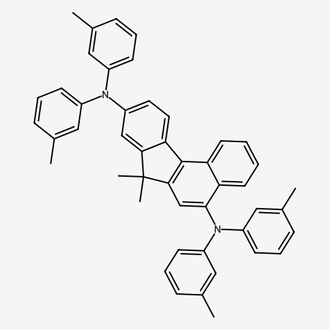 Cc1cccc(N(c2cccc(C)c2)c2ccc3c(c2)C(C)(C)c2cc(N(c4cccc(C)c4)c4cccc(C)c4)c4ccccc4c2-3)c1